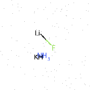 N.[KH].[Li][F]